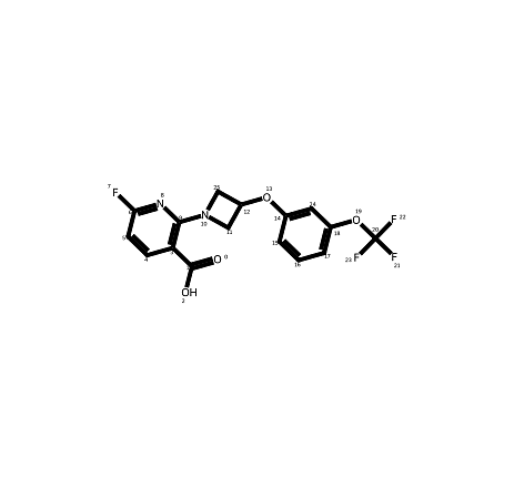 O=C(O)c1ccc(F)nc1N1CC(Oc2cccc(OC(F)(F)F)c2)C1